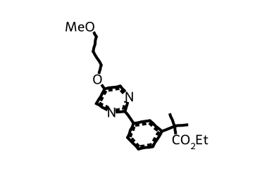 CCOC(=O)C(C)(C)c1cccc(-c2ncc(OCCCOC)cn2)c1